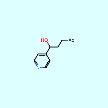 CC(=O)CCC(O)c1ccncc1